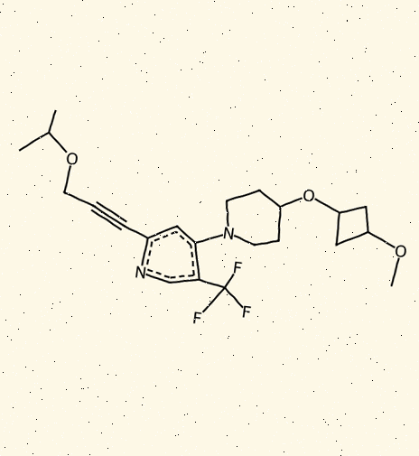 COC1CC(OC2CCN(c3cc(C#CCOC(C)C)ncc3C(F)(F)F)CC2)C1